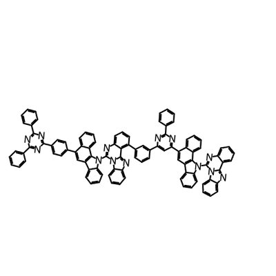 c1ccc(-c2nc(-c3cccc(-c4cccc5nc(-n6c7ccccc7c7cc(-c8ccc(-c9nc(-c%10ccccc%10)nc(-c%10ccccc%10)n9)cc8)c8ccccc8c76)n6c7ccccc7nc6c45)c3)cc(-c3cc4c5ccccc5n(-c5nc6ccccc6c6nc7ccccc7n56)c4c4ccccc34)n2)cc1